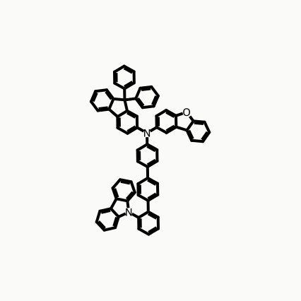 c1ccc(C2(c3ccccc3)c3ccccc3-c3ccc(N(c4ccc(-c5ccc(-c6ccccc6-n6c7ccccc7c7ccccc76)cc5)cc4)c4ccc5oc6ccccc6c5c4)cc32)cc1